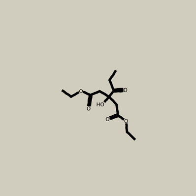 CCOC(=O)CC(O)(CC(=O)OCC)C(=O)CC